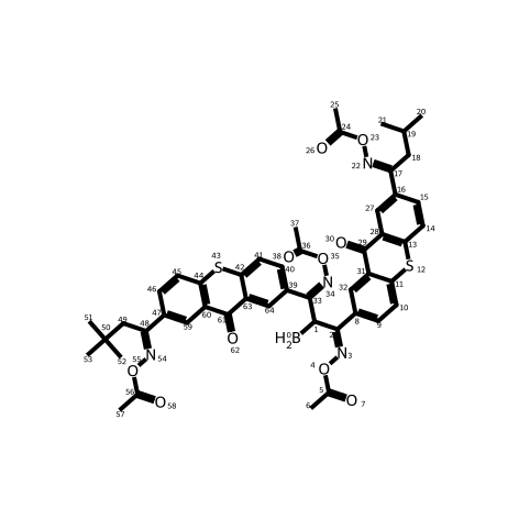 BC(C(=NOC(C)=O)c1ccc2sc3ccc(C(CC(C)C)=NOC(C)=O)cc3c(=O)c2c1)C(=NOC(C)=O)c1ccc2sc3ccc(C(CC(C)(C)C)=NOC(C)=O)cc3c(=O)c2c1